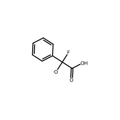 [O]C(F)(C(=O)O)c1ccccc1